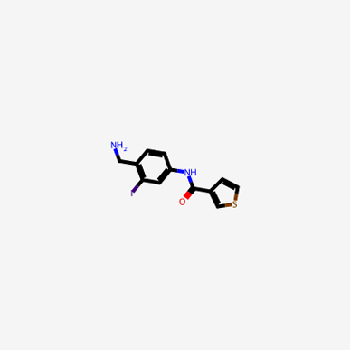 NCc1ccc(NC(=O)c2ccsc2)cc1I